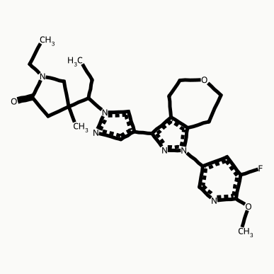 CCC(n1cc(-c2nn(-c3cnc(OC)c(F)c3)c3c2CCOCC3)cn1)C1(C)CC(=O)N(CC)C1